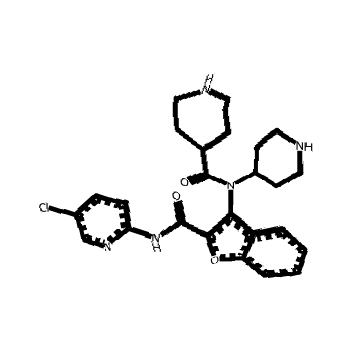 O=C(Nc1ccc(Cl)cn1)c1oc2ccccc2c1N(C(=O)C1CCNCC1)C1CCNCC1